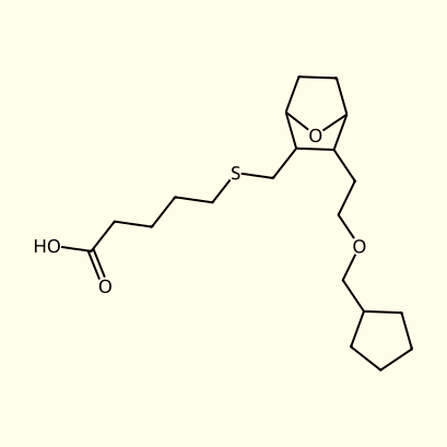 O=C(O)CCCCSCC1C2CCC(O2)C1CCOCC1CCCC1